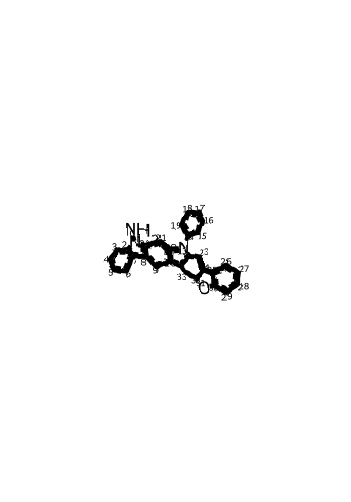 Nn1c2ccccc2c2cc3c4c(n(-c5ccccc5)c3cc21)C=C1c2ccccc2OC1C4